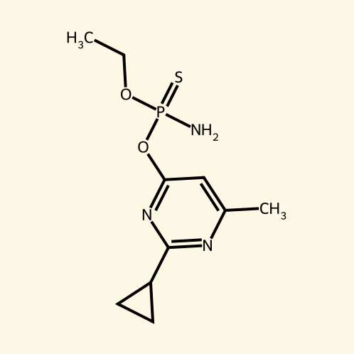 CCOP(N)(=S)Oc1cc(C)nc(C2CC2)n1